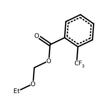 CCOCOC(=O)c1ccccc1C(F)(F)F